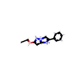 CCOc1cc2[nH]c(-c3ccccc3)cn2n1